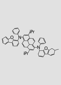 CC1C=Cc2c(oc3c2C=CCC3N(C2=C3C=Cc4c(C(C)C)cc(N(c5ccccc5)c5cccc6c5oc5ccccc56)c5c4C3C(C=C5)C(C(C)C)=C2)c2ccccc2)C1